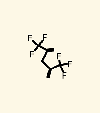 C=C(CC(=C)C(F)(F)F)C(F)(F)F